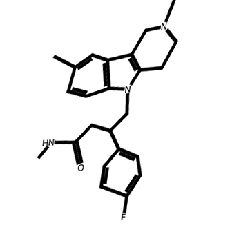 CNC(=O)CC(Cn1c2c(c3cc(C)ccc31)CN(C)CC2)c1ccc(F)cc1